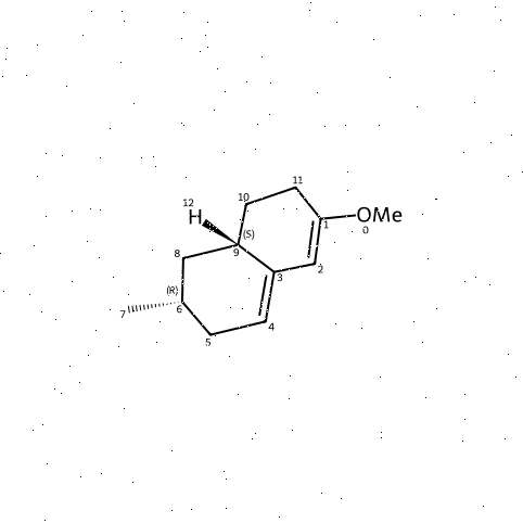 COC1=CC2=CC[C@H](C)C[C@@H]2CC1